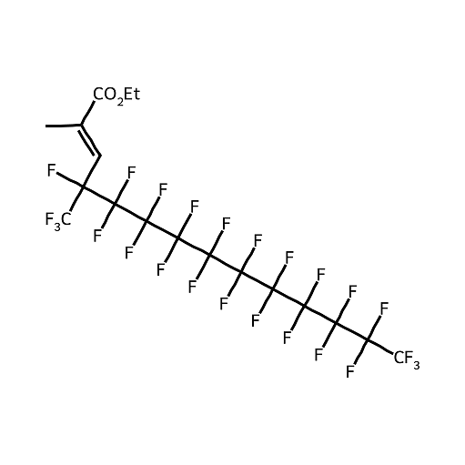 CCOC(=O)C(C)=CC(F)(C(F)(F)F)C(F)(F)C(F)(F)C(F)(F)C(F)(F)C(F)(F)C(F)(F)C(F)(F)C(F)(F)C(F)(F)C(F)(F)F